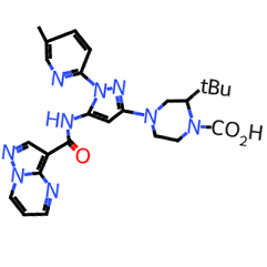 Cc1ccc(-n2nc(N3CCN(C(=O)O)C(C(C)(C)C)C3)cc2NC(=O)c2cnn3cccnc23)nc1